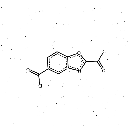 O=C(Cl)c1ccc2oc(C(=O)Cl)nc2c1